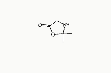 CC1(C)NCC(=O)O1